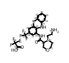 NCCN1CCOCC1C(=O)Nc1cc(C(F)(F)F)cc2c1Nc1ccccc1S2.O=C(O)C(F)(F)F